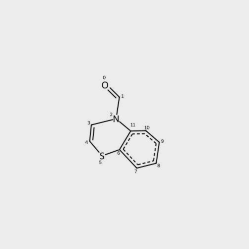 O=CN1C=CSc2ccccc21